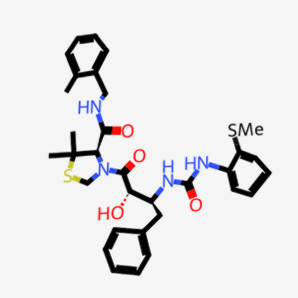 CSc1ccccc1NC(=O)N[C@@H](Cc1ccccc1)[C@H](O)C(=O)N1CSC(C)(C)[C@H]1C(=O)NCc1ccccc1C